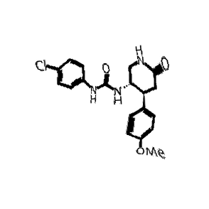 COc1ccc([C@@H]2CC(=O)NC[C@H]2NC(=O)Nc2ccc(Cl)cc2)cc1